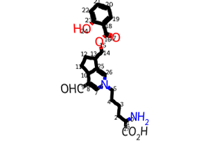 NC(CCCCN1C=C(C=O)C2CCC(COC(=O)c3ccccc3O)C2=C1)C(=O)O